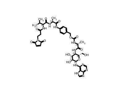 CC(C)[C@H](NC(=O)CCN1C(=O)C=CC1=O)C(=O)N[C@@H](C)C(=O)Nc1ccc(COC(=O)N[C@H](C)C(=O)N[C@@H]2[C@@H](O)[C@H](O)[C@@H](Nc3ncnc4nc[nH]c34)O[C@H]2CO)cc1